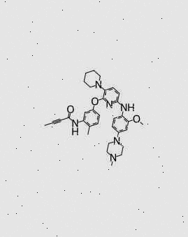 CC#CC(=O)Nc1cc(Oc2nc(Nc3ccc(N4CCN(C)CC4)cc3OC)ccc2N2CCCCC2)ccc1C